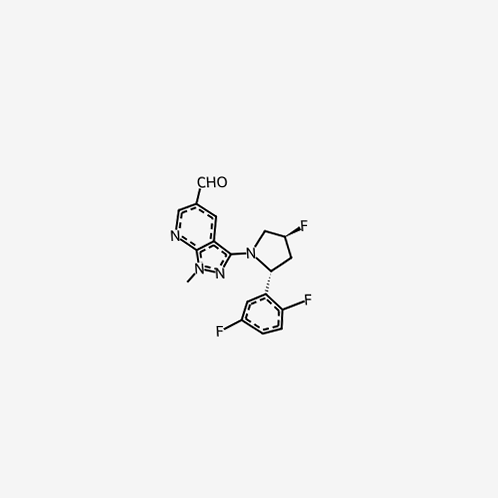 Cn1nc(N2C[C@@H](F)C[C@@H]2c2cc(F)ccc2F)c2cc(C=O)cnc21